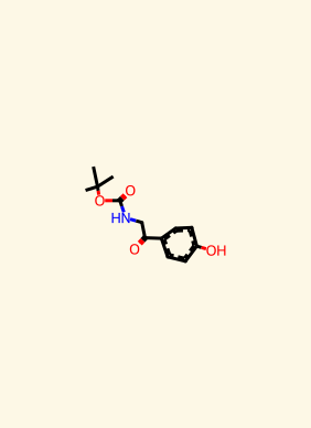 CC(C)(C)OC(=O)NCC(=O)c1ccc(O)cc1